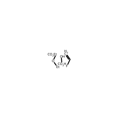 C=CF.CCOC(=O)OCC.O=C(O)O